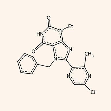 CCn1c(=O)[nH]c(=O)c2c1nc(-c1ncc(Cl)nc1C)n2Cc1ccccc1